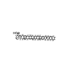 O=C(O)C1CCOC2CC3CC4OC5CC6CC7OC8CC9CC%10OC%11CC%12CC%13CC%14CC%15CCCCC%15CC%14CC%13CC%12CC%11CC%10CC9CC8CC7CC6CC5CC4CC3CC21